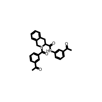 CC(=O)c1cccc(NC(=O)C2Cc3ccccc3CN2C(=O)c2cccc(C(C)=O)c2)c1